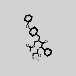 CC(=O)SCC(Cc1ccc(Oc2ccccc2)cc1)C(=O)C(OC(=O)CN)c1ccccc1